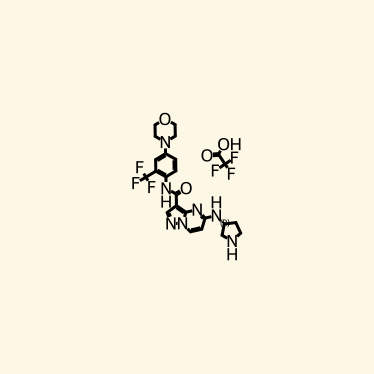 O=C(Nc1ccc(N2CCOCC2)cc1C(F)(F)F)c1cnn2ccc(N[C@@H]3CCNC3)nc12.O=C(O)C(F)(F)F